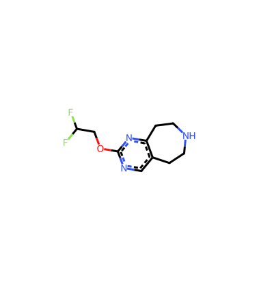 FC(F)COc1ncc2c(n1)CCNCC2